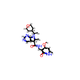 COc1cc(C)[nH]c(=O)c1CNC(=O)c1c(C)n(C(C)C2CCOCC2)c2ncncc12